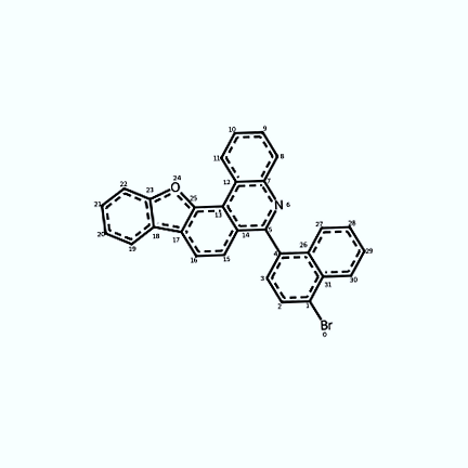 Brc1ccc(-c2nc3ccccc3c3c2ccc2c4ccccc4oc23)c2ccccc12